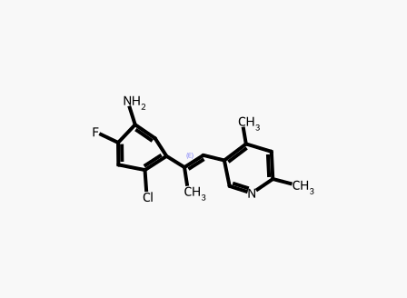 C/C(=C\c1cnc(C)cc1C)c1cc(N)c(F)cc1Cl